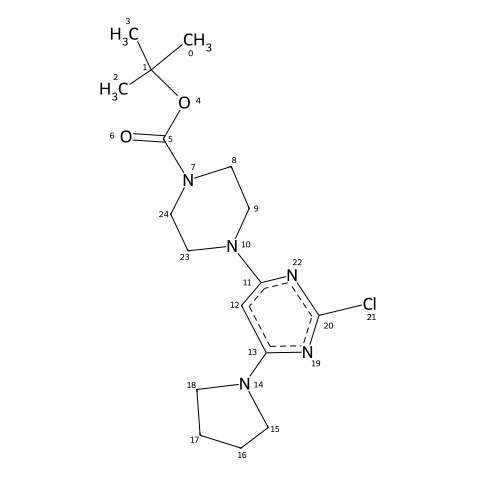 CC(C)(C)OC(=O)N1CCN(c2cc(N3CCCC3)nc(Cl)n2)CC1